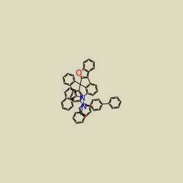 c1ccc(-c2ccc(N(c3ccccc3)c3ccc4c(c3)C3(c5ccccc5-4)c4oc5ccccc5c4-c4cccc(N(c5ccccc5)c5cccc6ccccc56)c43)cc2)cc1